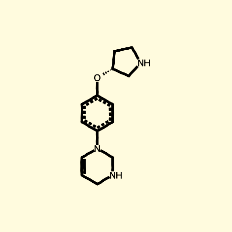 C1=CN(c2ccc(O[C@@H]3CCNC3)cc2)CNC1